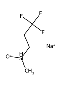 C[SiH]([O-])CCC(F)(F)F.[Na+]